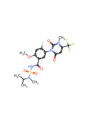 COc1cc(F)c(-n2c(=O)cc(C(F)(F)F)n(C)c2=O)cc1C(=O)NS(=O)(=O)N(C)C(C)C